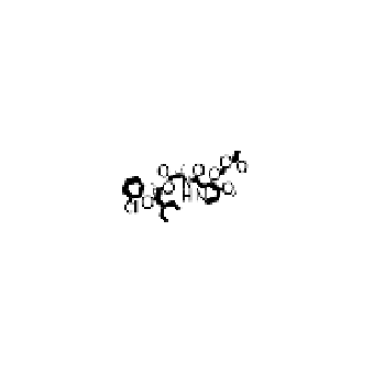 CCC(CC)[C@@H](Oc1ccccc1Cl)[C@H](C)OC(=O)[C@H](C)NC(=O)c1nccc(OC)c1OCOC(C)=O